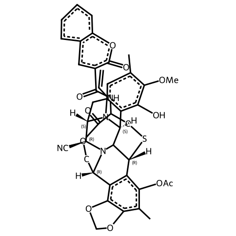 C=CCN1[C@H]2c3c(cc(C)c(OC)c3O)C[C@H]1[C@H](C#N)N1C2[C@@H]2SCC(NC(=O)c3cc4ccccc4oc3=O)C(=O)OC[C@H]1c1c3c(c(C)c(OC(C)=O)c12)OCO3